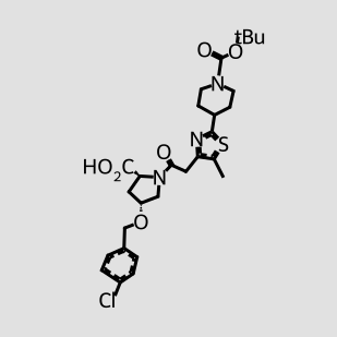 Cc1sc(C2CCN(C(=O)OC(C)(C)C)CC2)nc1CC(=O)N1C[C@H](OCc2ccc(Cl)cc2)C[C@H]1C(=O)O